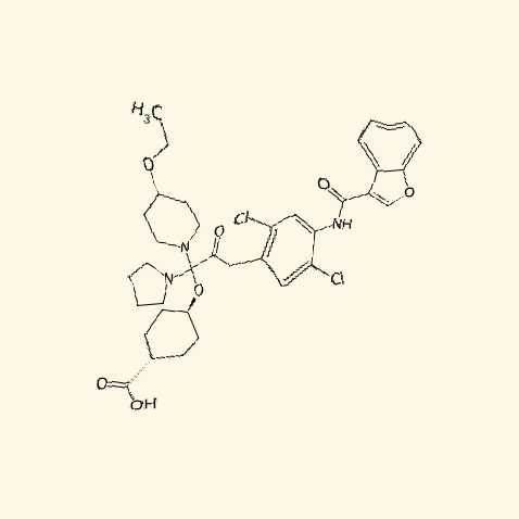 CCOC1CCN(C(O[C@H]2CC[C@H](C(=O)O)CC2)(C(=O)Cc2cc(Cl)c(NC(=O)c3coc4ccccc34)cc2Cl)N2CCCC2)CC1